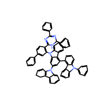 C1=Cc2c(c3ccccc3n2-c2cc(-c3cccc4c3c3ccccc3n4-c3ccccc3)c3c4ccccc4n(-c4cc(-c5ccccc5)ccc4C4=NC(c5ccccc5)=NC(c5ccccc5)N4)c3c2)CC1